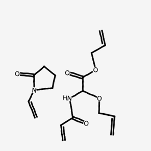 C=CCOC(=O)C(NC(=O)C=C)OCC=C.C=CN1CCCC1=O